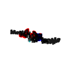 CNC(=O)C1COC(CCOc2c(F)ccc3nc(C(=O)NCc4cccc(OC)c4)[nH]c(=O)c23)CO1